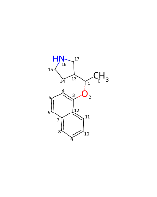 CC(Oc1cccc2ccccc12)C1CCNC1